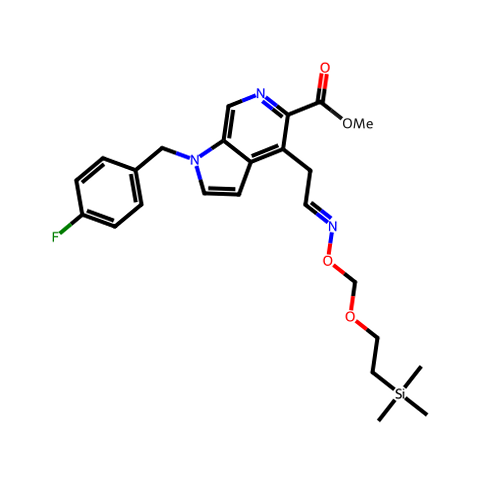 COC(=O)c1ncc2c(ccn2Cc2ccc(F)cc2)c1CC=NOCOCC[Si](C)(C)C